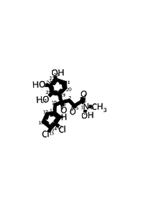 CN(O)C(=O)C(=O)CC(O)(Cc1ccc(Cl)c(Cl)c1)c1ccc(O)c(O)c1O